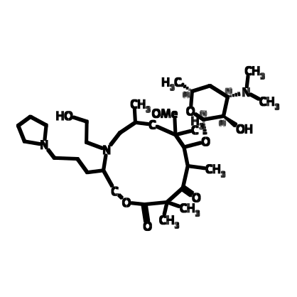 COC1(C)CC(C)CN(CCO)C(CCCN2CCCC2)COC(=O)C(C)(C)C(=O)C(C)C1O[C@@H]1O[C@H](C)C[C@H](N(C)C)[C@H]1O